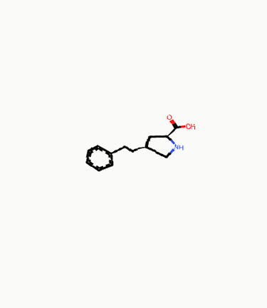 O=C(O)[C@@H]1C[C@H](CCc2ccccc2)CN1